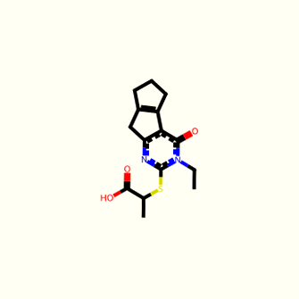 CCn1c(SC(C)C(=O)O)nc2c(c1=O)C1=C(CCC1)C2